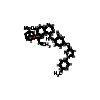 C=CC(=O)N1CC2CC(C1)C2Oc1cc2c(Nc3ccc(Oc4ccn(-c5ccc(C)nc5)n4)cc3F)ncnc2cc1OC